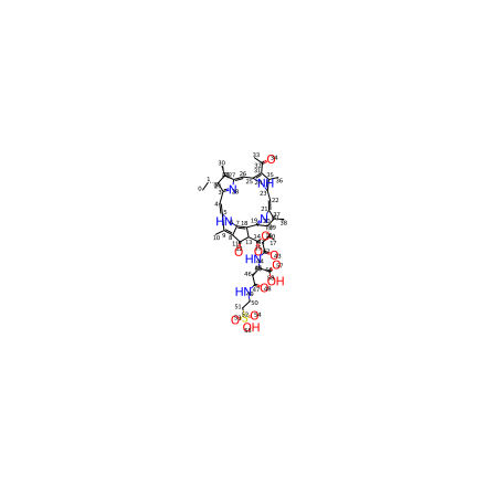 CC[C@H]1c2cc3[nH]c4c(c3C)C(=O)C(C(=O)OC)c4c3nc(cc4[nH]c(cc(n2)[C@@H]1C)c(C(C)=O)c4C)[C@@H](C)[C@@H]3CCC(=O)N[C@H](CC(=O)NCCS(=O)(=O)O)C(=O)O